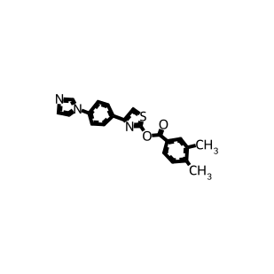 Cc1ccc(C(=O)Oc2nc(-c3ccc(-n4ccnc4)cc3)cs2)cc1C